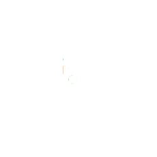 CCCCCCCCP(Cl)(Cl)(CCCCCCCC)CCCCCCCC